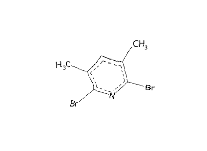 Cc1cc(C)c(Br)nc1Br